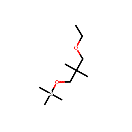 CCOCC(C)(C)CO[Si](C)(C)C